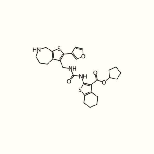 O=C(NCc1c(-c2ccoc2)sc2c1CCCNC2)Nc1sc2c(c1C(=O)OC1CCCC1)CCCC2